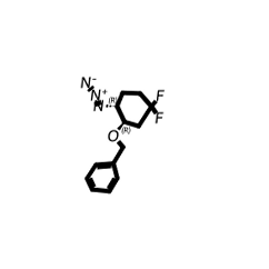 [N-]=[N+]=N[C@@H]1CCC(F)(F)C[C@H]1OCc1ccccc1